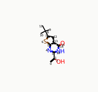 C=C(O)c1nc2sc(C(C)(C)C)cc2c(=O)[nH]1